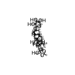 CC(=O)O[C@@H]([C@H]1C[C@@H](C)[C@H]2[C@H](O1)[C@@](O)(CF)[C@@]1(C)[C@@H]3CC[C@H]4C(C)(C)[C@@H](O[C@@H]5OC[C@@H](O)[C@H](O)[C@H]5O)CC[C@@]45C[C@@]35CC[C@]21C)C(C)(C)O